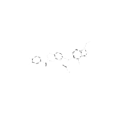 CCn1nnc2c(C)c([C@H](CC(=O)O)c3ccc4c(n3)CN(C(=O)c3ccc(C)c(C)c3)CC4)ccc21